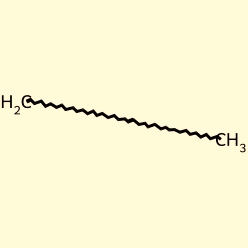 C=CCCCCCCCCCCCCCCCCCCC=CCCCCCCCCCCCCCCCCC